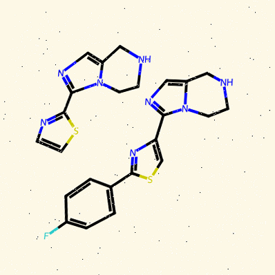 Fc1ccc(-c2nc(-c3ncc4n3CCNC4)cs2)cc1.c1csc(-c2ncc3n2CCNC3)n1